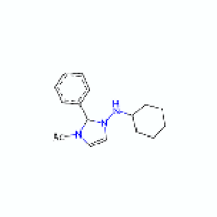 CC(=O)N1C=CN(NC2CCCCC2)C1c1ccccc1